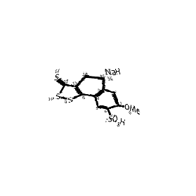 COc1cc2c(cc1S(=O)(=O)O)-c1ssc(=S)c1CC2.[NaH]